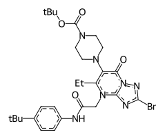 CCc1c(N2CCN(C(=O)OC(C)(C)C)CC2)c(=O)n2nc(Br)nc2n1CC(=O)Nc1ccc(C(C)(C)C)cc1